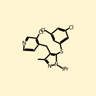 Cc1nn(C(C)C)c(Sc2cc(Cl)cc(Cl)c2)c1Cc1ccncc1Cl